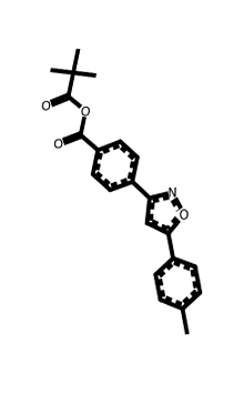 Cc1ccc(-c2cc(-c3ccc(C(=O)OC(=O)C(C)(C)C)cc3)no2)cc1